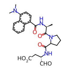 C[C@H](NC(=O)c1ccc(N(C)C)c2ccccc12)C(=O)N1CCCC1C(=O)N[C@H](C=O)CC(=O)O